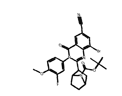 COc1ccc(-n2c(C3CC4CCC3N4C(=O)OC(C)(C)C)nc3c(Br)cc(C#N)cc3c2=O)cc1F